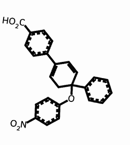 O=C(O)c1ccc(C2=CCC(Oc3ccc([N+](=O)[O-])cc3)(c3ccccc3)C=C2)cc1